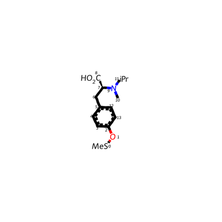 CSOc1ccc(C[C@@H](C(=O)O)N(C)C(C)C)cc1